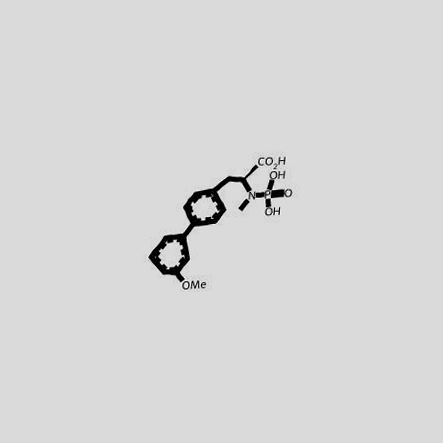 COc1cccc(-c2ccc(C[C@@H](C(=O)O)N(C)P(=O)(O)O)cc2)c1